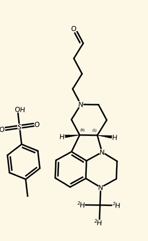 Cc1ccc(S(=O)(=O)O)cc1.[2H]C([2H])([2H])N1CCN2c3c(cccc31)[C@@H]1CN(CCCC=O)CC[C@@H]12